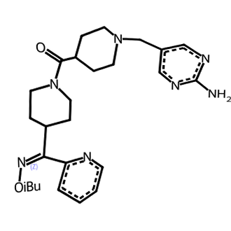 CC(C)CO/N=C(\c1ccccn1)C1CCN(C(=O)C2CCN(Cc3cnc(N)nc3)CC2)CC1